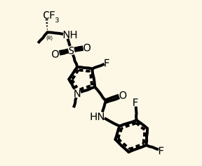 C[C@@H](NS(=O)(=O)c1cn(C)c(C(=O)Nc2ccc(F)cc2F)c1F)C(F)(F)F